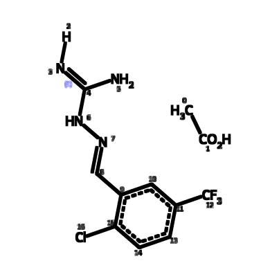 CC(=O)O.[H]/N=C(\N)NN=Cc1cc(C(F)(F)F)ccc1Cl